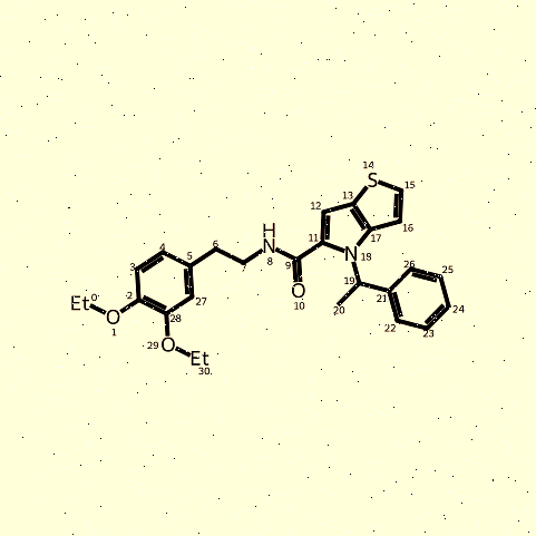 CCOc1ccc(CCNC(=O)c2cc3sccc3n2C(C)c2ccccc2)cc1OCC